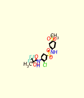 C[C@@](O)(C(=O)Nc1ccc(S(=O)(=O)Nc2ccc(S(C)(=O)=O)cc2)cc1Cl)C(F)(F)F